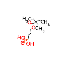 CCC(CC)(CC)C(=O)OCCCCP(=O)(O)O